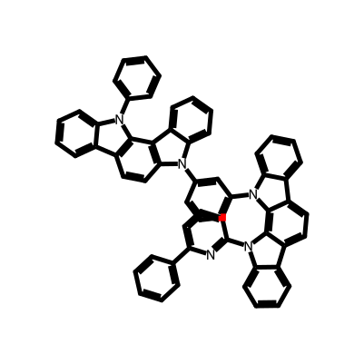 C1=C=C(c2ccccc2)N=C(n2c3ccccc3c3ccc4c5ccccc5n(-c5cccc(-n6c7ccccc7c7c6ccc6c8ccccc8n(-c8ccccc8)c67)c5)c4c32)C=1